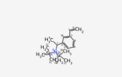 C=Cc1cccc(C(C)N([Si](C)(C)C)[Si](C)(C)C)c1